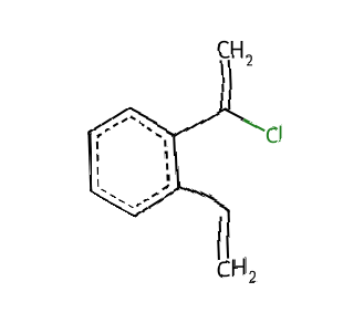 C=Cc1ccccc1C(=C)Cl